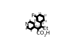 CCC(=C(C(=O)O)c1ccncc1)c1cccc(F)c1